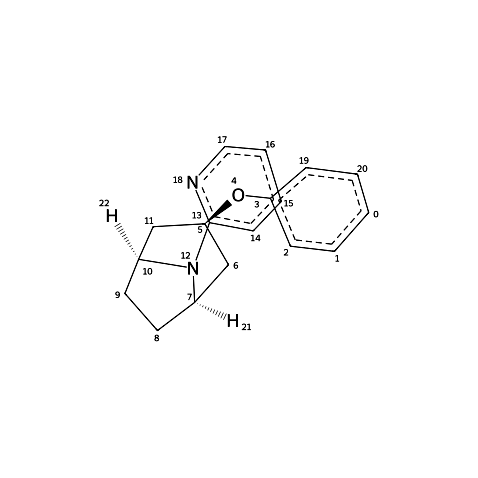 c1ccc(O[C@H]2C[C@H]3CC[C@@H](C2)N3c2ccccn2)cc1